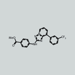 COC(=O)c1ccc(Nc2nc3c(-c4cccc(C(F)(F)F)c4)cccn3n2)cc1